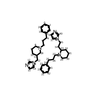 c1ccc(CCCN2CCCC(Cn3ccnc3)C2)cc1.c1ccc(CCCN2CCCCC2CCn2ccnc2)cc1